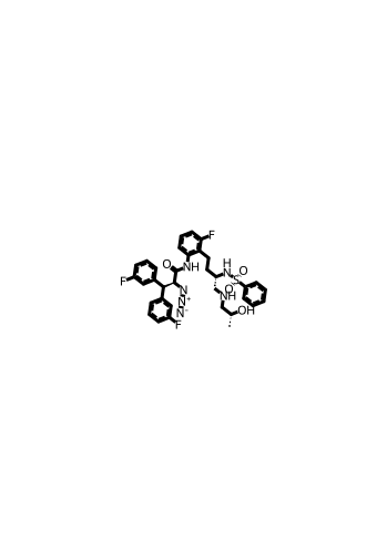 C[C@@H](O)CNC[C@H](CCc1c(F)cccc1NC(=O)[C@@H](N=[N+]=[N-])C(c1cccc(F)c1)c1cccc(F)c1)NS(=O)(=O)c1ccccc1